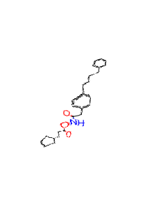 O=C(Cc1ccc(CCCCc2ccccc2)cc1)NOC(=O)CCC1CCCC1